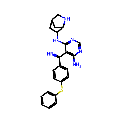 N=C(c1ccc(Sc2ccccc2)cc1)c1c(N)ncnc1NC1CC2CNC1C2